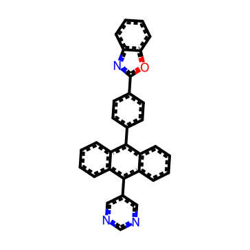 c1ccc2oc(-c3ccc(-c4c5ccccc5c(-c5cncnc5)c5ccccc45)cc3)nc2c1